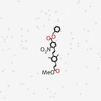 COC(=O)/C=C/c1cc(C)c(C=Cc2ccc(C(=O)OCc3ccccc3)cc2[N+](=O)[O-])c(C)c1